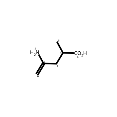 C=C(N)CC(C)C(=O)O